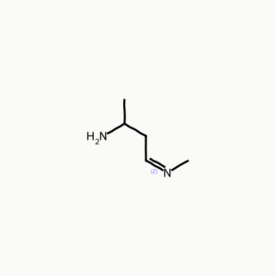 C/N=C\CC(C)N